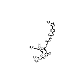 C=C1C=C(c2ccc(OC(=O)OCOC(=O)CCC/C=C\C[C@H]3C(=O)C[C@@H](OC(=O)CC(C)CC)[C@@H]3/C=C/C[C@@](C)(O)CCCC)cc2)SS1